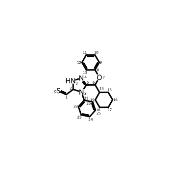 S=CC1NN=C(C(Oc2ccccc2)C2CCCCC2)N1c1ccccc1